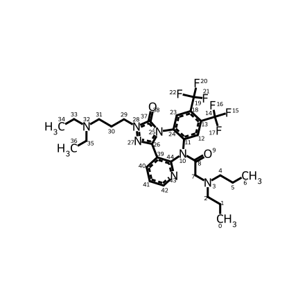 CCCN(CCC)CC(=O)N1c2cc(C(F)(F)F)c(C(F)(F)F)cc2-n2c(nn(CCCN(CC)CC)c2=O)-c2cccnc21